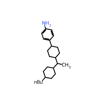 CCCCC1CCC(C(C)C2CCC(c3ccc(N)cc3)CC2)CC1